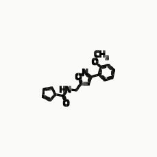 COc1ccccc1-c1cc(CNC(=O)C2C=CC=C2)on1